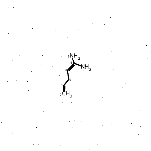 C=CCC=C(N)N